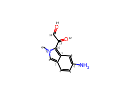 Cn1cc2ccc(N)cc2c1C(=O)C=O